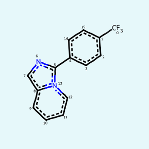 FC(F)(F)c1ccc(-c2ncc3ccccn23)cc1